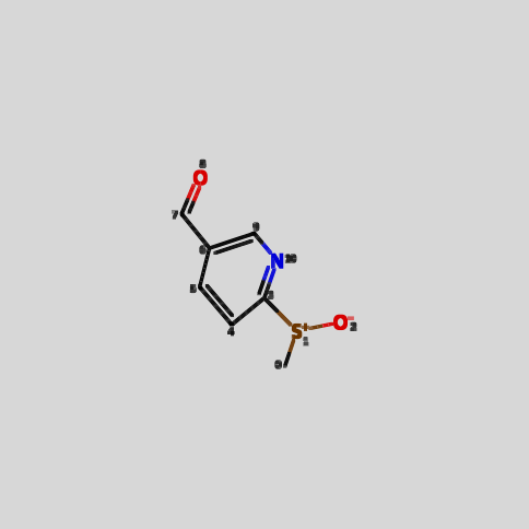 C[S+]([O-])c1ccc(C=O)cn1